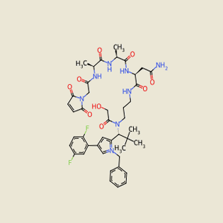 C[C@H](NC(=O)CN1C(=O)C=CC1=O)C(=O)N[C@@H](C)C(=O)N[C@@H](CC(N)=O)C(=O)NCCCN(C(=O)CO)[C@@H](c1cc(-c2cc(F)ccc2F)cn1Cc1ccccc1)C(C)(C)C